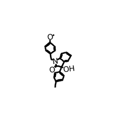 COc1ccc(CN2C(=O)C(O)(c3ccc(C)cc3)c3ccccc32)cc1